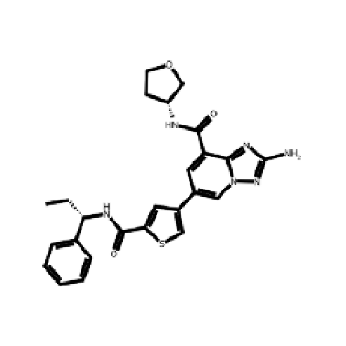 CC[C@H](NC(=O)c1cc(-c2cc(C(=O)N[C@@H]3CCOC3)c3nc(N)nn3c2)cs1)c1ccccc1